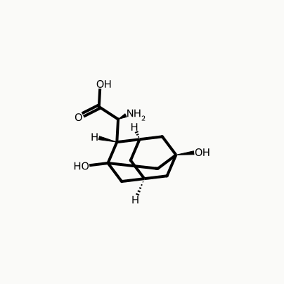 N[C@H](C(=O)O)[C@@H]1[C@@H]2C[C@@H]3CC1(O)C[C@@](O)(C3)C2